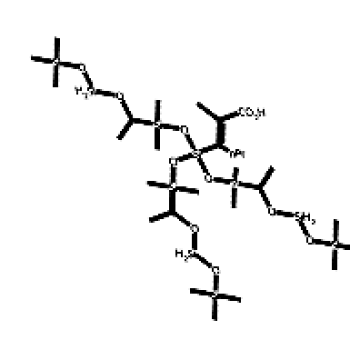 CCC/C(=C(/C)C(=O)O)[Si](O[Si](C)(C)C(C)O[SiH2]O[Si](C)(C)C)(O[Si](C)(C)C(C)O[SiH2]O[Si](C)(C)C)O[Si](C)(C)C(C)O[SiH2]O[Si](C)(C)C